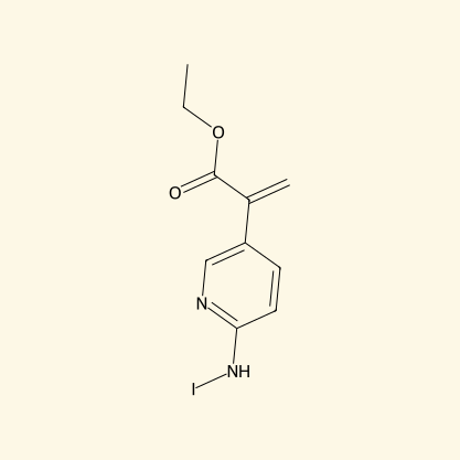 C=C(C(=O)OCC)c1ccc(NI)nc1